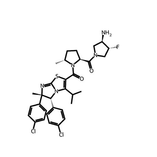 CC(C)C1=C(C(=O)N2[C@H](C)CC[C@H]2C(=O)N2C[C@@H](N)[C@H](F)C2)SC2=N[C@@](C)(c3ccc(Cl)cc3)[C@@H](c3ccc(Cl)cc3)N21